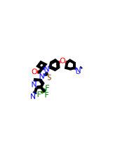 CN(C)C1CCC(Oc2ccc(N3C(=S)N(c4cnc(C#N)c(C(F)(F)F)c4)C(=O)C34CCC4)cc2)CC1